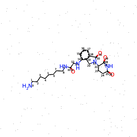 NCCCCCCCCNC(=O)CNc1cccc2c1CN(C1CCC(=O)NC1=O)C2=O